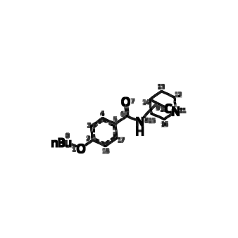 CCCCOc1ccc(C(=O)NC2CN3CCC2CC3)cc1